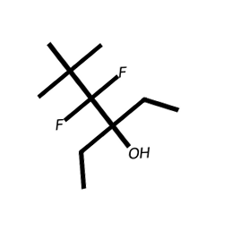 CCC(O)(CC)C(F)(F)C(C)(C)C